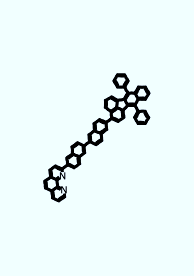 c1ccc(-c2c3c(c(-c4ccccc4)c4ccccc24)-c2ccc(-c4ccc5cc(-c6ccc7cc(-c8ccc9ccc%10cccnc%10c9n8)ccc7c6)ccc5c4)c4cccc-3c24)cc1